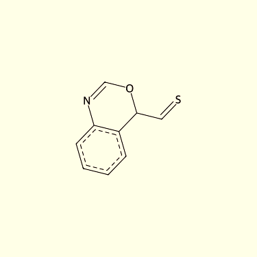 S=CC1OC=Nc2ccccc21